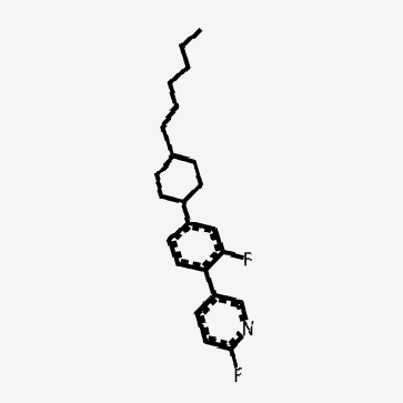 CCCCCCC1CCC(c2ccc(-c3ccc(F)nc3)c(F)c2)CC1